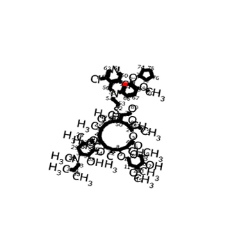 CC[C@H]1OC(=O)[C@H](C)[C@@H](O[C@H]2C[C@@](C)(OC)[C@@H](O)[C@H](C)O2)[C@H](C)[C@@H](O[C@@H]2O[C@H](C)C[C@H](N(C)CC(C)C)[C@H]2O)[C@](C)(OC)C[C@@H](C)C(=O)[C@H](C)[C@H]2[C@H](SCCN(Cc3c(Cl)cncc3Cl)c3ccc(OC)c(OC4CCCC4)c3)C(=O)O[C@@]21C